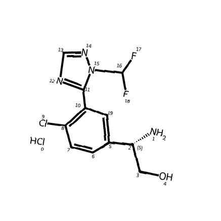 Cl.N[C@H](CO)c1ccc(Cl)c(-c2ncnn2C(F)F)c1